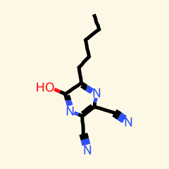 CCCCCc1nc(C#N)c(C#N)nc1O